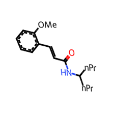 CCCC(CCC)NC(=O)/C=C/c1ccccc1OC